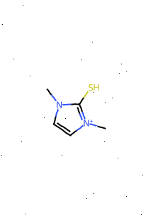 Cn1cc[n+](C)c1S